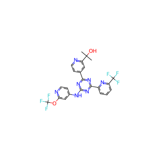 CC(C)(O)c1cc(-c2nc(Nc3ccnc(OC(F)(F)F)c3)nc(-c3cccc(C(F)(F)F)n3)n2)ccn1